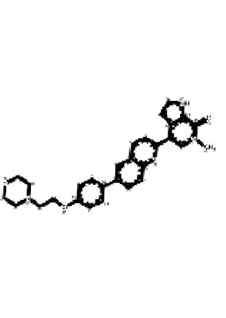 Cn1cc(-c2ccc3cc(-c4ccc(OCCN5CCOCC5)cc4)ccc3n2)c2cc[nH]c2c1=O